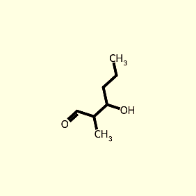 CCCC(O)C(C)C=O